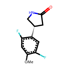 COc1cc(F)c([C@@H]2CNC(=O)C2)cc1F